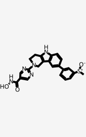 C[S+]([O-])c1cccc(-c2ccc3[nH]c4c(c3c2)CN(c2ncc(C(=O)NO)cn2)CC4)c1